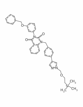 C[Si](C)(C)CCOCn1cc(-c2ccc(Cn3c(=O)n(-c4cccc(OCc5ccccc5)c4)c(=O)c4ccccc43)cc2)cn1